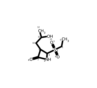 CCS(=O)(=O)C1NC(=O)C1CC(C)O